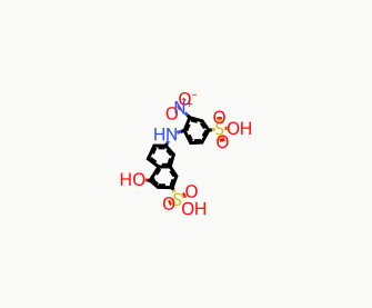 O=[N+]([O-])c1cc(S(=O)(=O)O)ccc1Nc1ccc2c(O)cc(S(=O)(=O)O)cc2c1